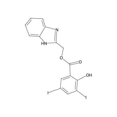 O=C(OCc1nc2ccccc2[nH]1)c1cc(I)cc(I)c1O